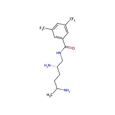 CC(N)CC[C@H](N)CNC(=O)c1cc(C(F)(F)F)cc(C(F)(F)F)c1